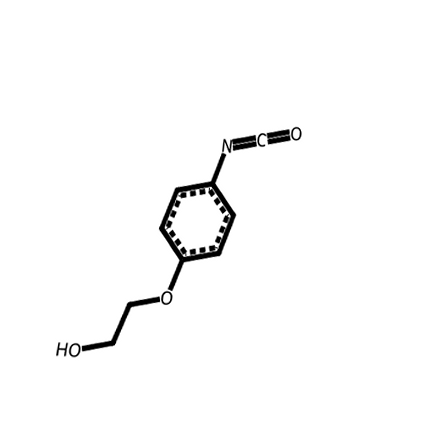 O=C=Nc1ccc(OCCO)cc1